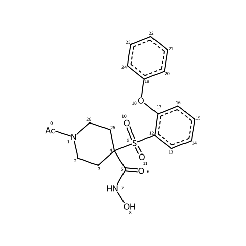 CC(=O)N1CCC(C(=O)NO)(S(=O)(=O)c2ccccc2Oc2ccccc2)CC1